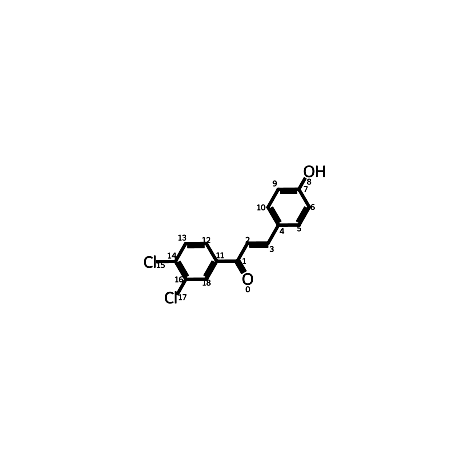 O=C(C=Cc1ccc(O)cc1)c1ccc(Cl)c(Cl)c1